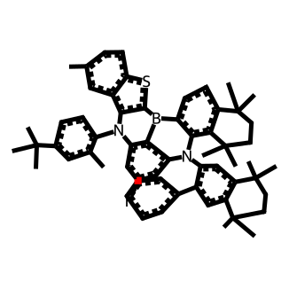 Cc1ccc2sc3c(c2c1)N(c1ccc(C(C)(C)C)cc1C)c1cc(F)cc2c1B3c1ccc3c(c1N2c1cc2c(cc1-c1ccccc1)C(C)(C)CCC2(C)C)C(C)(C)CCC3(C)C